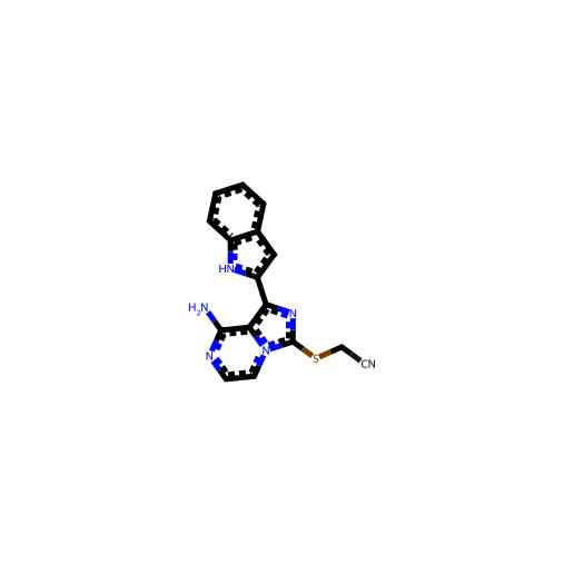 N#CCSc1nc(-c2cc3ccccc3[nH]2)c2c(N)nccn12